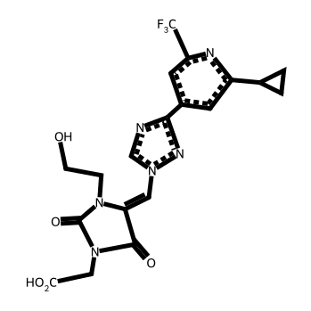 O=C(O)CN1C(=O)C(=Cn2cnc(-c3cc(C4CC4)nc(C(F)(F)F)c3)n2)N(CCO)C1=O